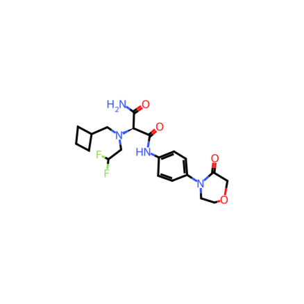 NC(=O)[C@@H](C(=O)Nc1ccc(N2CCOCC2=O)cc1)N(CC(F)F)CC1CCC1